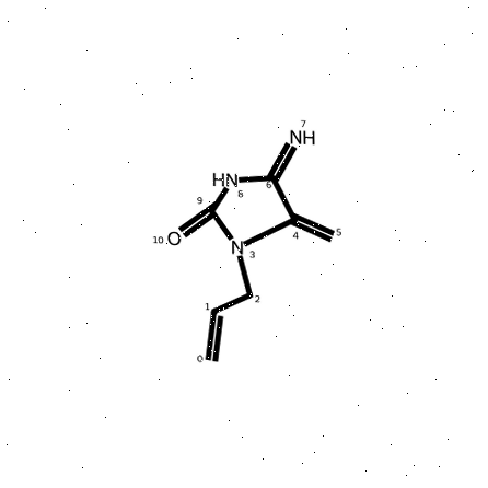 C=CCN1C(=C)C(=N)NC1=O